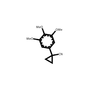 COc1cc(C2(C#N)CC2)cc(OC)c1OC